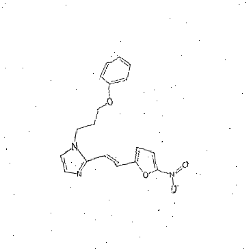 O=[N+]([O-])c1ccc(C=Cc2nccn2CCCOc2ccccc2)o1